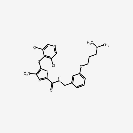 CN(C)CCCOc1cccc(CNC(=O)c2cc([N+](=O)[O-])c(Sc3c(Cl)cncc3Cl)s2)c1